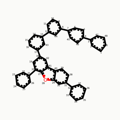 c1ccc(-c2ccc(-c3cccc(-c4cccc(-c5cc(-c6ccccc6)c6oc7cc(-c8ccccc8)ccc7c6c5)c4)c3)cc2)cc1